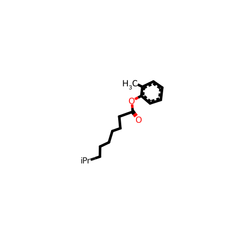 Cc1ccccc1OC(=O)CCCCCCC(C)C